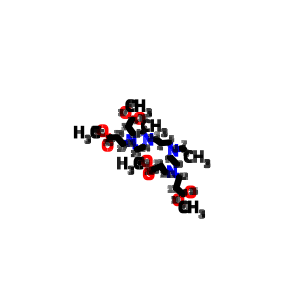 CCN(CCCN(CC)CCN(CCC(=O)OC)CCC(=O)OC)CCN(CCC(=O)OC)CCC(=O)OC